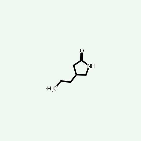 [CH2]CCC1CNC(=O)C1